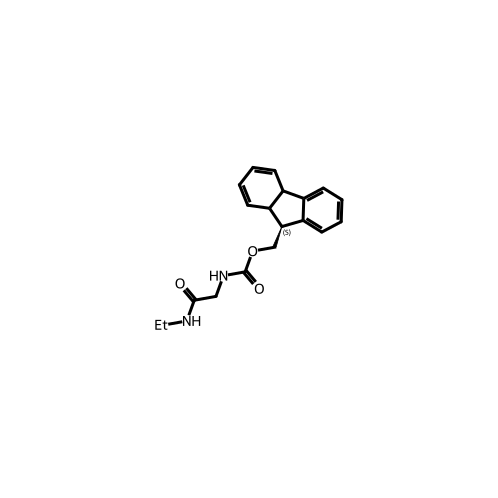 CCNC(=O)CNC(=O)OC[C@@H]1c2ccccc2C2C=CC=CC21